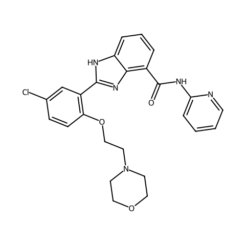 O=C(Nc1ccccn1)c1cccc2[nH]c(-c3cc(Cl)ccc3OCCN3CCOCC3)nc12